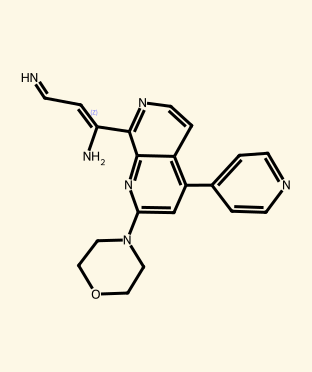 N=C/C=C(\N)c1nccc2c(-c3ccncc3)cc(N3CCOCC3)nc12